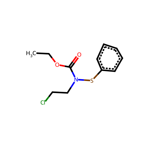 CCOC(=O)N(CCCl)Sc1ccccc1